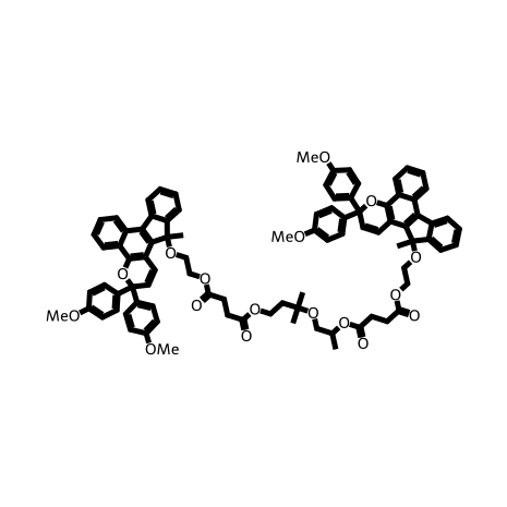 COc1ccc(C2(c3ccc(OC)cc3)C=Cc3c4c(c5ccccc5c3O2)-c2ccccc2C4(C)OCCOC(=O)CCC(=O)OCCC(C)(C)OCC(C)OC(=O)CCC(=O)OCCOC2(C)c3ccccc3-c3c2c2c(c4ccccc34)OC(c3ccc(OC)cc3)(c3ccc(OC)cc3)C=C2)cc1